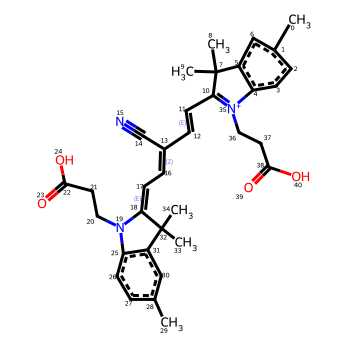 Cc1ccc2c(c1)C(C)(C)C(/C=C/C(C#N)=C/C=C1/N(CCC(=O)O)c3ccc(C)cc3C1(C)C)=[N+]2CCC(=O)O